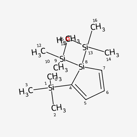 C[Si](C)(C)C1=CC=C[Si]1([Si](C)(C)C)[Si](C)(C)C